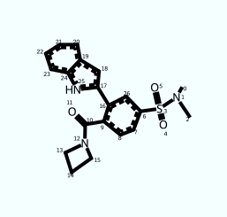 CN(C)S(=O)(=O)c1ccc(C(=O)N2CCC2)c(-c2cc3ccccc3[nH]2)c1